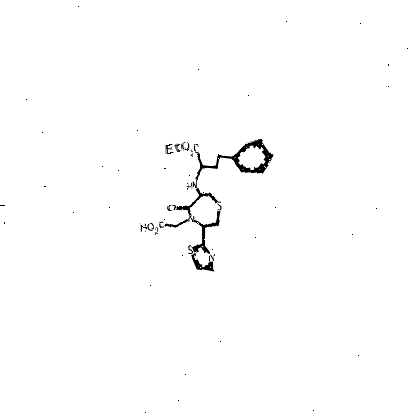 CCOC(=O)C(CCc1ccccc1)NC1CSCC(c2nccs2)N(CC(=O)O)C1=O